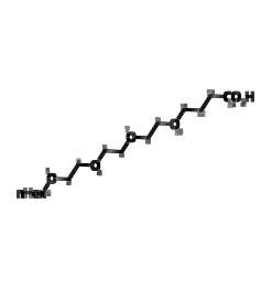 CCCCCCOCCOCCOCCOCCCC(=O)O